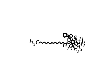 CCCCCCCCCCCCCCCCCCc1c(OC(=O)c2ccccc2)cc(C(C)(C)C)c(O)c1C(C)(C)C